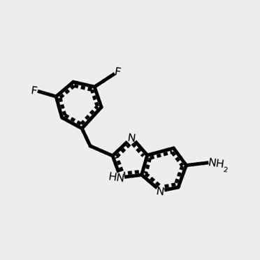 Nc1cnc2[nH]c(Cc3cc(F)cc(F)c3)nc2c1